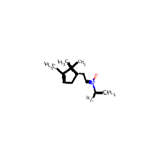 CC1=CC[C@H](CC=[N+]([O-])C(C)C)C1(C)C